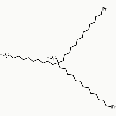 CC(C)CCCCCCCCCCCCCC(CCCCCCCCCCCCCC(C)C)(CCCCCCCCCC(=O)O)C(=O)O